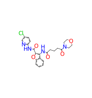 O=C(CCCC(=O)N1CCOCC1)Nc1c(C(=O)Nc2ccc(Cl)cn2)oc2ccccc12